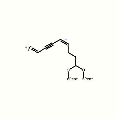 C=CC#C/C=C\CCC(OCCCCC)OCCCCC